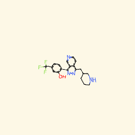 Oc1cc(C(F)(F)F)ccc1-c1nnc(CC2CCCNC2)c2ccncc12